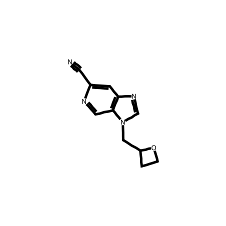 N#Cc1cc2ncn(CC3CCO3)c2cn1